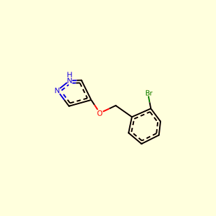 Brc1ccccc1COc1cn[nH]c1